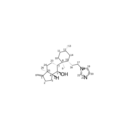 C=C1CC[C@H]2[C@H](O)[C@@H]([C@@]3(C)CC[C@H](C)C[C@@H]3CCn3ccnc3)CC[C@]12C